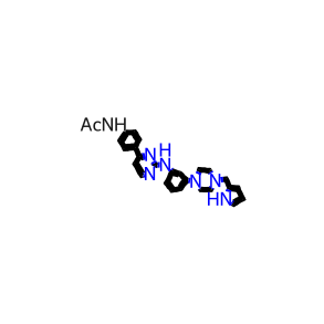 CC(=O)Nc1ccc(-c2ccnc(Nc3cccc(N4CCN(Cc5ccc[nH]5)CC4)c3)n2)cc1